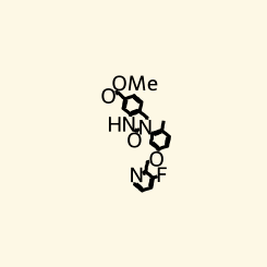 COC(=O)c1ccc2c(c1)NC(=O)N(c1cc(OCc3ncccc3F)ccc1C)C2